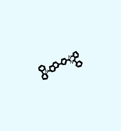 c1ccc(-c2nc(-c3ccc(-c4ccc5cc(-n6c7ccccc7c7ccccc76)ccc5c4)cc3)nc3ccccc23)cc1